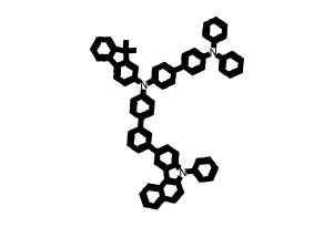 CC1(C)c2ccccc2-c2ccc(N(c3ccc(-c4ccc(N(c5ccccc5)c5ccccc5)cc4)cc3)c3ccc(-c4cccc(-c5ccc6c(c5)c5c7ccccc7ccc5n6-c5ccccc5)c4)cc3)cc21